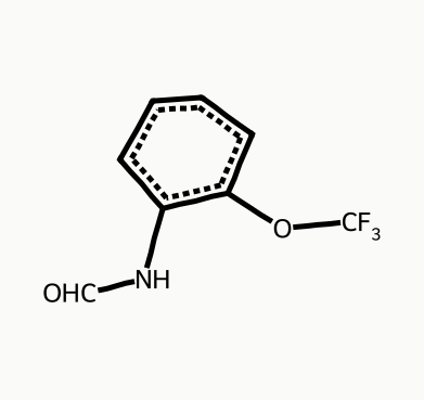 O=CNc1ccccc1OC(F)(F)F